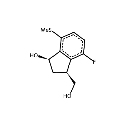 CSc1ccc(F)c2c1[C@H](O)C[C@@H]2CO